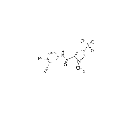 Cn1cc(S(=O)(=O)Cl)cc1C(=O)Nc1ccc(F)c(C#N)c1